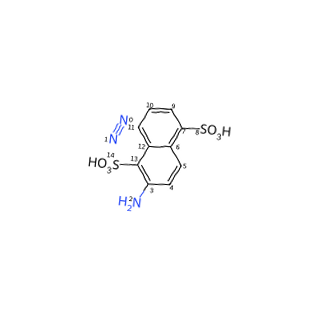 N#N.Nc1ccc2c(S(=O)(=O)O)cccc2c1S(=O)(=O)O